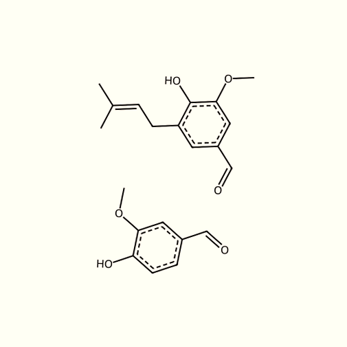 COc1cc(C=O)cc(CC=C(C)C)c1O.COc1cc(C=O)ccc1O